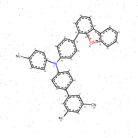 N#Cc1ccc(N(c2ccc(-c3cc(C#N)cc(C#N)c3)cc2)c2ccc(-c3cccc4c3oc3ccccc34)cc2)cc1